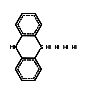 I.I.I.I.c1ccc2c(c1)Nc1ccccc1S2